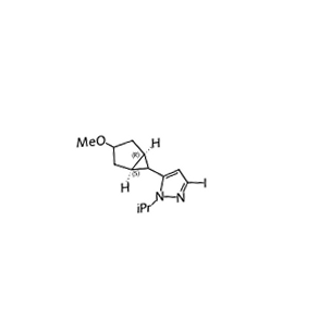 COC1C[C@@H]2C(c3cc(I)nn3C(C)C)[C@@H]2C1